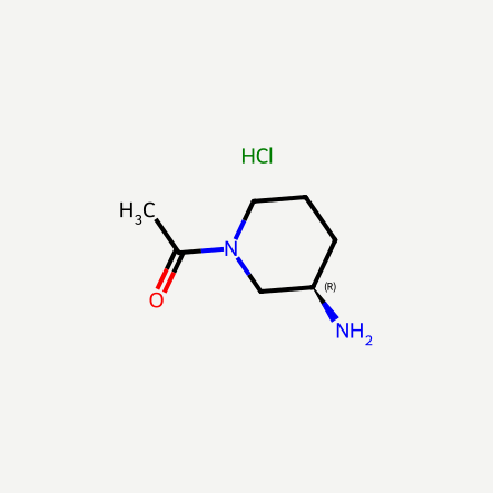 CC(=O)N1CCC[C@@H](N)C1.Cl